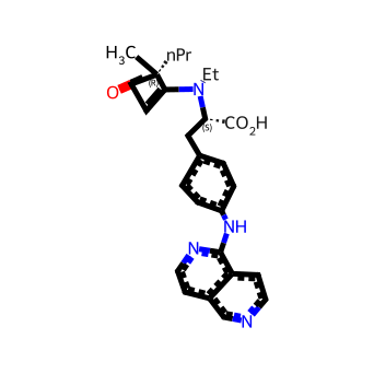 CCC[C@@]1(C)C(=O)C=C1N(CC)[C@@H](Cc1ccc(Nc2nccc3cnccc23)cc1)C(=O)O